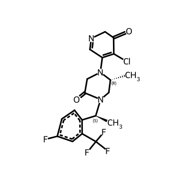 C[C@@H]1CN([C@@H](C)c2ccc(F)cc2C(F)(F)F)C(=O)CN1C1=C(Cl)C(=O)CN=C1